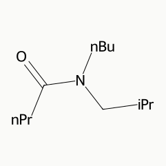 [CH2]CCC(=O)N(CCCC)CC(C)C